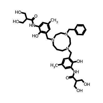 Cc1cc(CN2CCCN(Cc3cc(C)cc(NC(=O)C(CO)CO)c3O)CCN(Cc3ccccc3)CC2)c(O)c(NC(=O)C(CO)CO)c1